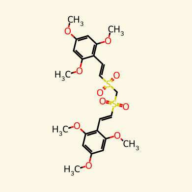 COc1cc(OC)c(C=CS(=O)(=O)CS(=O)(=O)/C=C/c2c(OC)cc(OC)cc2OC)c(OC)c1